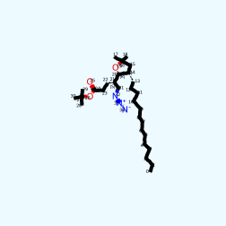 CCCCCCCCCCCCCC[C@H]1CC(C)(C)O[C@H]1[C@@H](CCC(=O)OC(C)(C)C)CN=[N+]=[N-]